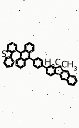 CC1(C)c2cc(-c3ccc(-c4c5ccccc5c(-c5cccc6sc7ccccc7c56)c5ccccc45)cc3)ccc2-c2cc3ccccc3cc21